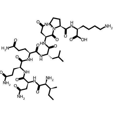 CC[C@H](C)[C@H](N)C(=O)N[C@@H](CC(N)=O)C(=O)N[C@@H](CCC(N)=O)C(=O)N[C@@H](CCC(N)=O)C(=O)N[C@@H](CC(C)C)C(=O)N[C@@H](CC(N)=O)C(=O)N1CCC[C@H]1C(=O)N[C@@H](CCCCN)C(=O)O